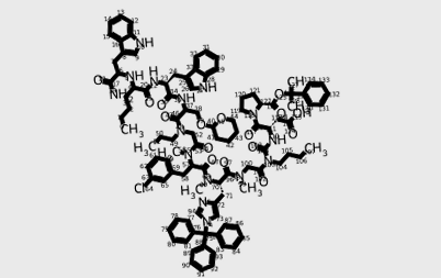 CCCCC(NC(Cc1c[nH]c2ccccc12)C(N)=O)C(=O)N[C@@H](Cc1c[nH]c2ccccc12)C(=O)NC(COC1CCCCO1)C(=O)N(CCC)CC(=O)N(C)C(Cc1cccc(Cl)c1)C(=O)N(C)[C@@H](Cc1cn(C(c2ccccc2)(c2ccccc2)c2ccccc2)cn1)C(=O)N(C)CC(=O)N(CCCC)C(=O)N[C@@H](CC(=O)O)C(=O)N1CCC[C@H]1C(=O)OC(C)(C)c1ccccc1